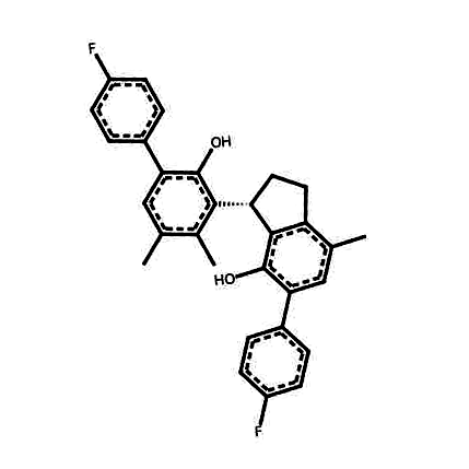 Cc1cc(-c2ccc(F)cc2)c(O)c([C@@H]2CCc3c(C)cc(-c4ccc(F)cc4)c(O)c32)c1C